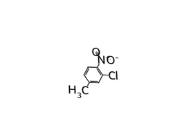 Cc1ccc([N+](=O)[O-])c(Cl)c1